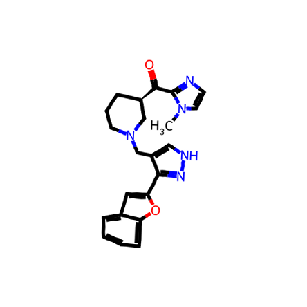 Cn1ccnc1C(=O)[C@@H]1CCCN(Cc2c[nH]nc2-c2cc3ccccc3o2)C1